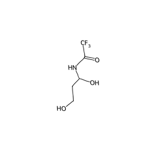 O=C(NC(O)CCO)C(F)(F)F